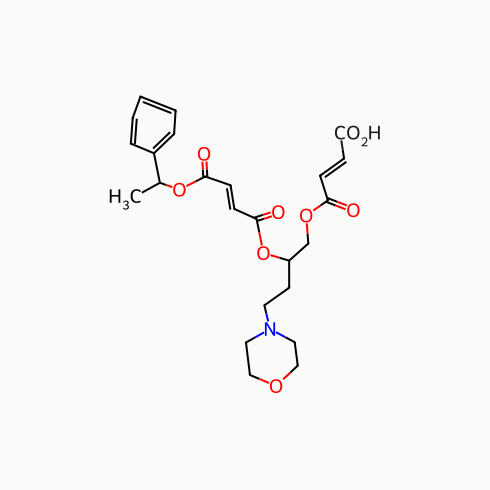 CC(OC(=O)C=CC(=O)OC(CCN1CCOCC1)COC(=O)C=CC(=O)O)c1ccccc1